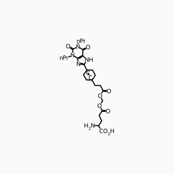 CCCn1c(=O)c2[nH]c(C34CCC(CCC(=O)OCOC(=O)CCC(N)C(=O)O)(CC3)CC4)nc2n(CCC)c1=O